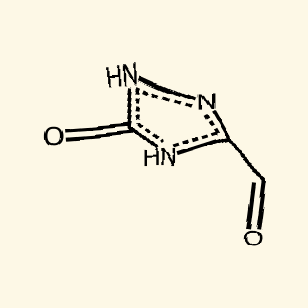 O=Cc1n[nH]c(=O)[nH]1